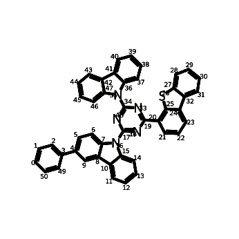 c1ccc(-c2ccc3c(c2)c2ccccc2n3-c2nc(-c3cccc4c3sc3ccccc34)nc(-n3c4ccccc4c4ccccc43)n2)cc1